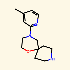 Cc1ccnc(N2CCOC3(CCNCC3)C2)c1